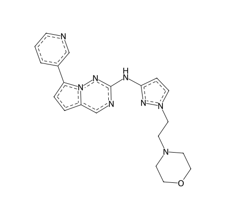 c1cncc(-c2ccc3cnc(Nc4ccn(CCN5CCOCC5)n4)nn23)c1